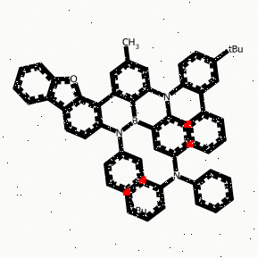 Cc1cc2c3c(c1)N(c1ccc(C(C)(C)C)cc1-c1ccccc1)c1ccc(N(c4ccccc4)c4ccccc4)cc1B3N(c1ccc(C(C)(C)C)cc1)c1ccc3c(oc4ccccc43)c1-2